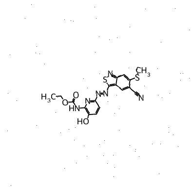 CCOC(=O)Nc1nc(/N=N/c2snc3cc(SC)c(C#N)cc23)ccc1O